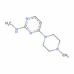 CNc1nccc(N2CCN(C)CC2)n1